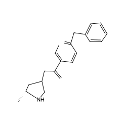 C=C(/C=C\C(=C/C)C(=C)CC1CN[C@H](C)C1)Cc1ccccc1